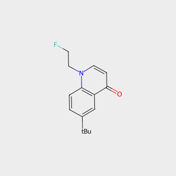 CC(C)(C)c1ccc2c(c1)c(=O)ccn2CCF